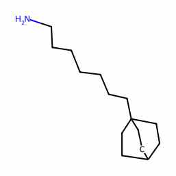 NCCCCCCCC12CCC(CC1)CC2